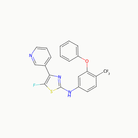 Fc1sc(Nc2ccc(C(F)(F)F)c(Oc3ccccc3)c2)nc1-c1cccnc1